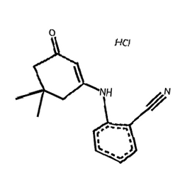 CC1(C)CC(=O)C=C(Nc2ccccc2C#N)C1.Cl